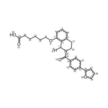 [2H]C1c2c(cccc2OCCCCCC(=O)O)CCN1C(=O)c1ccc(-c2ccco2)cc1